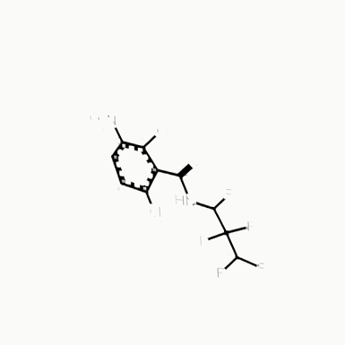 O=C(NC(F)C(F)(F)C(F)F)c1c(Cl)ccc([N+](=O)[O-])c1Cl